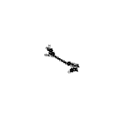 Cc1sc2c(c1C)C(c1ccc(Cl)cc1)=N[C@@H](CC(=O)Nc1ccc(OCCOCCOCCOCCNc3ccc(-c4ccc5c(c4)CC(=O)N5)c(C(=O)OC(C)(C)C)n3)cc1)c1nnc(C)n1-2